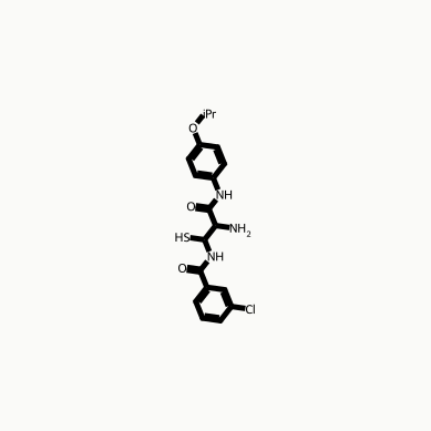 CC(C)Oc1ccc(NC(=O)C(N)C(S)NC(=O)c2cccc(Cl)c2)cc1